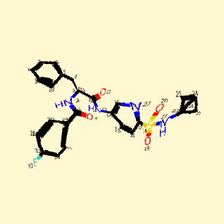 O=C(N[C@@H](Cc1ccccc1)C(=O)Nc1ccc(S(=O)(=O)NC23CC(C2)C3)nc1)c1ccc(F)cc1